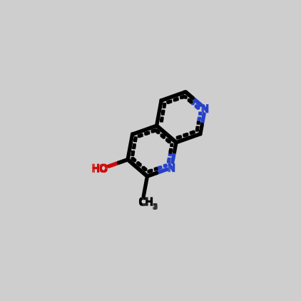 Cc1nc2cnccc2cc1O